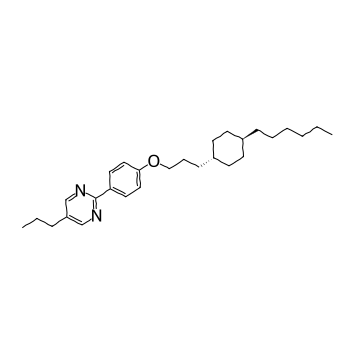 CCCCCC[C@H]1CC[C@H](CCCOc2ccc(-c3ncc(CCC)cn3)cc2)CC1